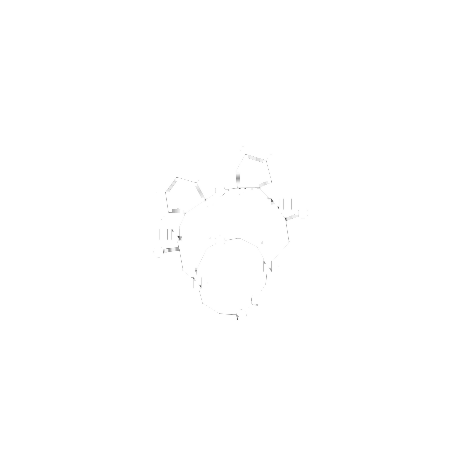 O=C1CN2CCOCCN(CCOCC2)CC(=O)Nc2ccccc2Oc2ccccc2N1